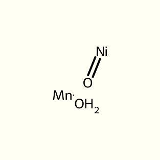 O.[Mn].[O]=[Ni]